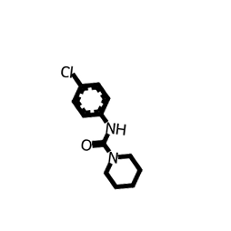 O=C(Nc1ccc(Cl)cc1)N1CCCCC1